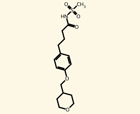 CS(=O)(=O)NC(=O)CCCc1ccc(OCC2CCOCC2)cc1